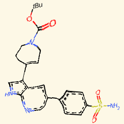 CC(C)(C)OC(=O)N1CC=C(c2c[nH]c3ncc(-c4ccc(S(N)(=O)=O)cc4)cc23)CC1